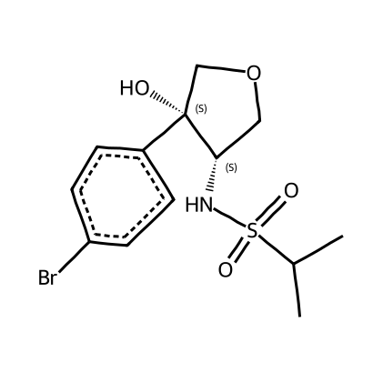 CC(C)S(=O)(=O)N[C@H]1COC[C@]1(O)c1ccc(Br)cc1